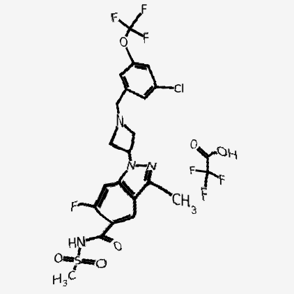 Cc1nn(C2CN(Cc3cc(Cl)cc(OC(F)(F)F)c3)C2)c2cc(F)c(C(=O)NS(C)(=O)=O)cc12.O=C(O)C(F)(F)F